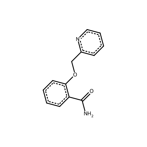 NC(=O)c1ccccc1OCc1ccccn1